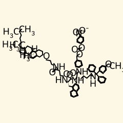 COc1ccc(C(NCCCC[C@H](NC(=O)[C@H](Cc2cccc3ccccc23)NC(=O)CCC(=O)NCCCO[C@H]2CC[C@@]3(C)C(=CC[C@H]4[C@@H]5CC[C@H]([C@H](C)CCCC(C)C)[C@@]5(C)CC[C@@H]43)C2)C(=O)Nc2ccc(COC(=O)Oc3ccc([N+](=O)[O-])cc3)cc2)(c2ccccc2)c2ccccc2)cc1